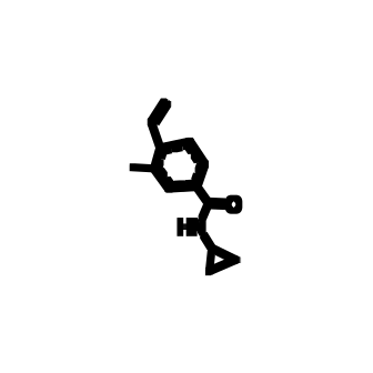 C=Cc1ccc(C(=O)NC2CC2)cc1C